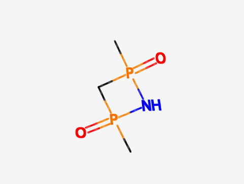 CP1(=O)CP(C)(=O)N1